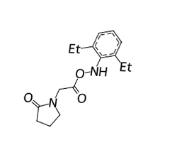 CCc1cccc(CC)c1NOC(=O)CN1CCCC1=O